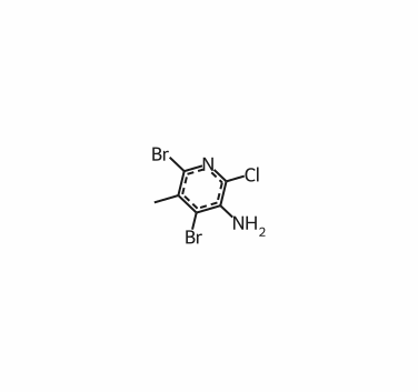 Cc1c(Br)nc(Cl)c(N)c1Br